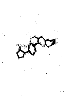 O=C(O)C1CCCC1c1ccc2c(c1)OCC(Cc1ccccc1)C2O